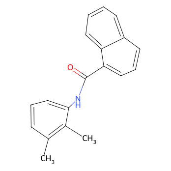 Cc1cccc(NC(=O)c2cccc3ccccc23)c1C